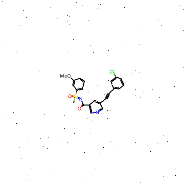 COc1cccc(S(C)(=O)=NC(=O)c2cncc(C#Cc3cccc(Cl)c3)c2)c1